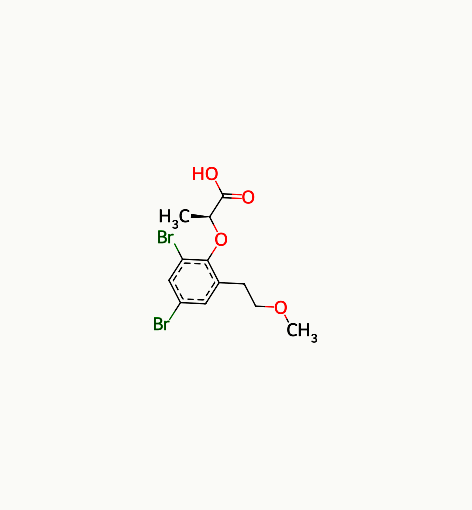 COCCc1cc(Br)cc(Br)c1O[C@@H](C)C(=O)O